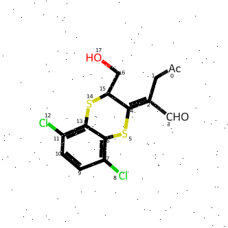 CC(=O)C/C(C=O)=C1/Sc2c(Cl)ccc(Cl)c2SC1CO